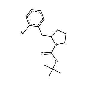 CC(C)(C)OC(=O)N1CCCC1Cc1ccccc1Br